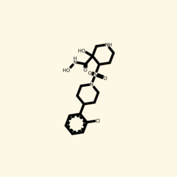 O=C(NO)C1(O)CNCCC1S(=O)(=O)N1CCC(c2ccccc2Cl)CC1